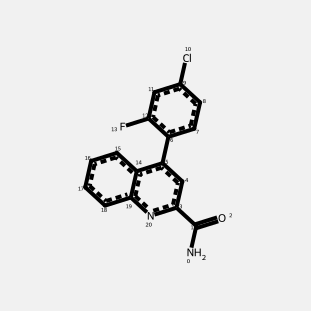 NC(=O)c1cc(-c2ccc(Cl)cc2F)c2ccccc2n1